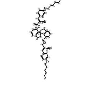 CCCCCCOc1ccc(/C=C(\C#N)COOc2cccc3c2C2(CC3)CCc3cccc(OC(=O)/C(C#N)=C/c4ccc(OCCCCCC)cc4)c32)cc1